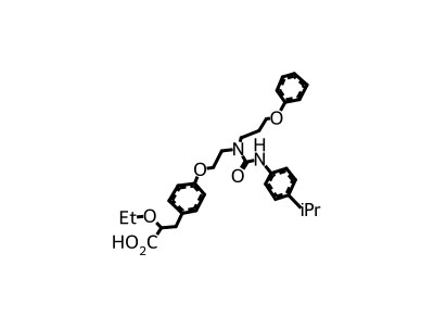 CCOC(Cc1ccc(OCCN(CCCOc2ccccc2)C(=O)Nc2ccc(C(C)C)cc2)cc1)C(=O)O